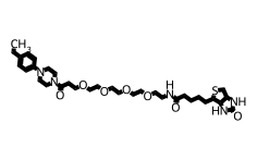 CCc1ccc(N2CCN(C(=O)CCOCCOCCOCCOCCNC(=O)CCCCC3SCC4NC(=O)NC43)CC2)cc1